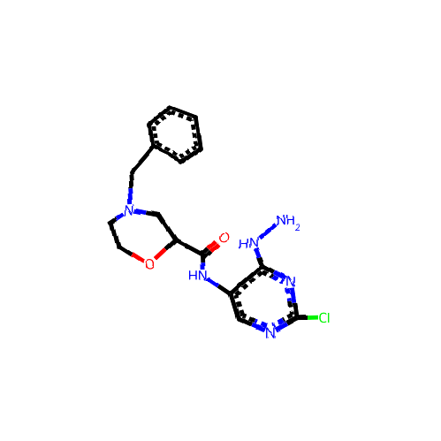 NNc1nc(Cl)ncc1NC(=O)C1CN(Cc2ccccc2)CCO1